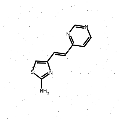 Nc1nc(C=Cc2ccncn2)cs1